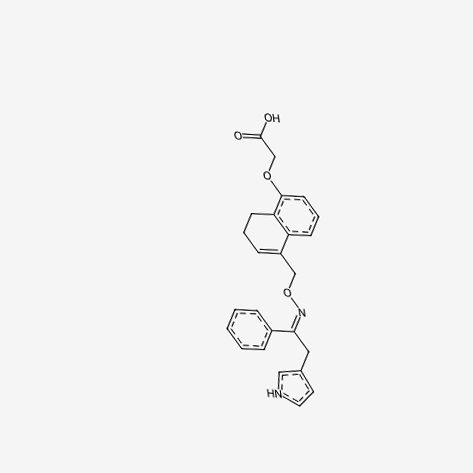 O=C(O)COc1cccc2c1CCC=C2CON=C(Cc1cc[nH]c1)c1ccccc1